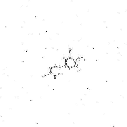 Nc1c(F)cc(-c2ccc(I)cc2)cc1F